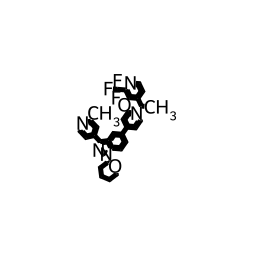 Cc1cc(-c2nn(C3CCCCO3)c3ccc(-c4ccn(C(C)c5ccnc(C(F)(F)F)c5)c(=O)c4)cc23)ccn1